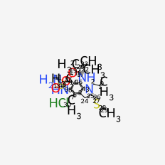 CCCN1c2c(c(C)c(NS(N)(=O)=O)c(C)c2NC(=O)C(C)(C)C)CC1CSCC.Cl